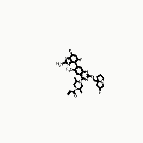 C=CC(=O)N1CC(C)N(c2nc(OCC34CCCN3CC(F)C4)nc3cc(-c4c(F)cc(F)c5sc(N)nc45)c(C(F)(F)F)cc23)CC1C